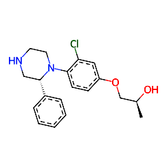 C[C@H](O)COc1ccc(N2CCNC[C@H]2c2ccccc2)c(Cl)c1